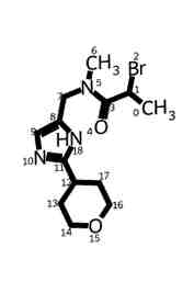 CC(Br)C(=O)N(C)Cc1cnc(C2CCOCC2)[nH]1